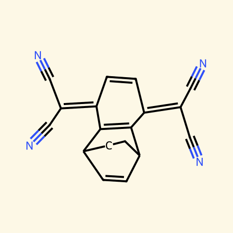 N#CC(C#N)=c1ccc(=C(C#N)C#N)c2c1C1C=CC2CC1